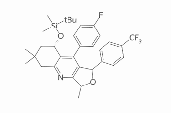 CC1OC(c2ccc(C(F)(F)F)cc2)c2c1nc1c(c2-c2ccc(F)cc2)[C@@H](O[Si](C)(C)C(C)(C)C)CC(C)(C)C1